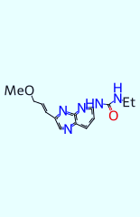 CCNC(=O)Nc1ccc2ncc(C=CCOC)nc2n1